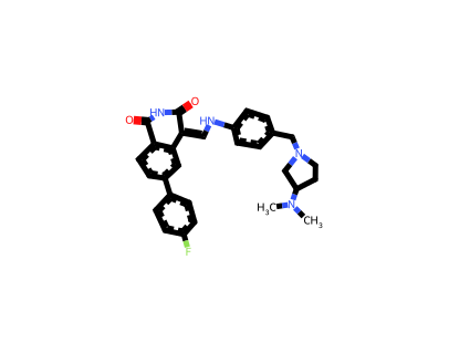 CN(C)C1CCN(Cc2ccc(NC=C3C(=O)NC(=O)c4ccc(-c5ccc(F)cc5)cc43)cc2)C1